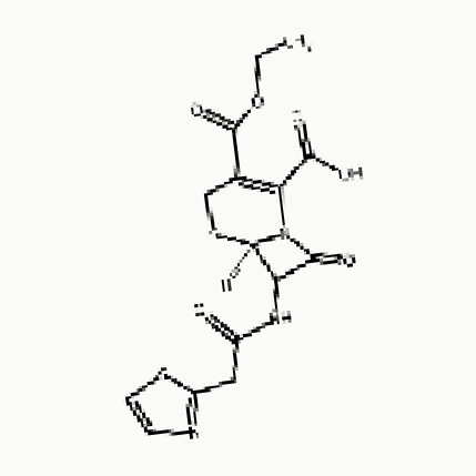 CCOC(=O)C1=C(C(=O)O)N2C(=O)C(NC(=O)Cc3nccs3)[C@H]2SC1